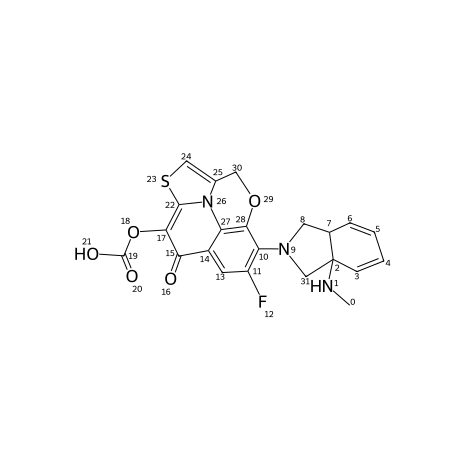 CNC12C=CC=CC1CN(c1c(F)cc3c(=O)c(OC(=O)O)c4scc5n4c3c1OC5)C2